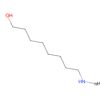 CCCCCCNCCCCCCCCO